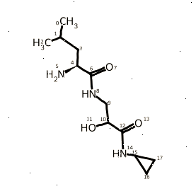 CC(C)C[C@H](N)C(=O)NCC(O)C(=O)NC1CC1